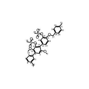 COc1cc(-c2cccc(F)c2)c(OC)c(OS(C)(=O)=O)c1-c1ccc(OCc2ccc(C)cc2)c(OS(C)(=O)=O)c1